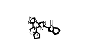 CCC1c2nncn2-c2cnc(-c3cc4ccccc4[nH]3)nc2N1C1CCCC1